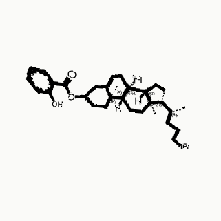 CC(C)CCC[C@@H](C)[C@H]1CC[C@H]2[C@@H]3CC=C4CC(OC(=O)c5ccccc5O)CC[C@]4(C)[C@H]3CC[C@]12C